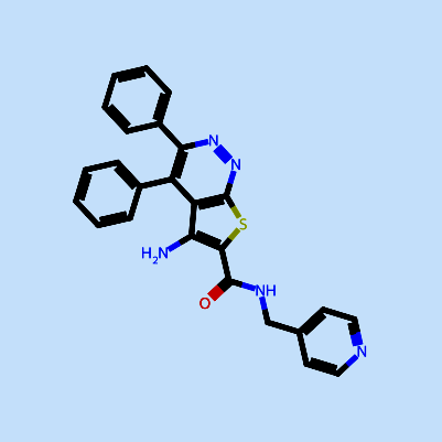 Nc1c(C(=O)NCc2ccncc2)sc2nnc(-c3ccccc3)c(-c3ccccc3)c12